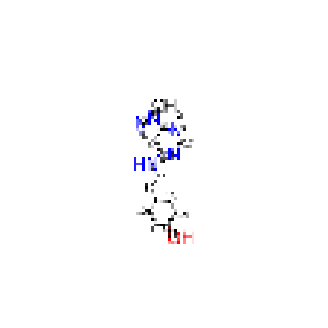 Cn1ncc2c(NCCc3ccc(O)cc3)ncnc21